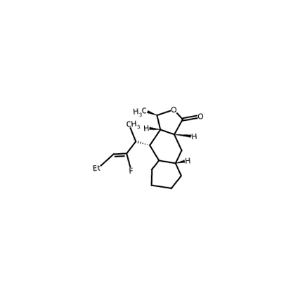 CCC=C(F)C(C)[C@H]1C2CCCC[C@H]2C[C@H]2C(=O)O[C@H](C)[C@@H]12